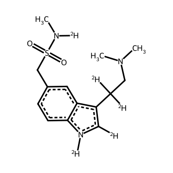 [2H]c1c(C([2H])([2H])CN(C)C)c2cc(CS(=O)(=O)N([2H])C)ccc2n1[2H]